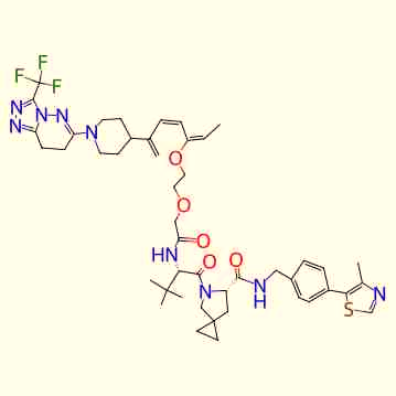 C=C(/C=C\C(=C/C)OCCOCC(=O)N[C@H](C(=O)N1CC2(CC2)C[C@H]1C(=O)NCc1ccc(-c2scnc2C)cc1)C(C)(C)C)C1CCN(C2=Nn3c(nnc3C(F)(F)F)CC2)CC1